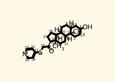 C[C@]12CCC(O)C[C@@H]1CC[C@@H]1[C@@H]2CC[C@]2(C)[C@@H](C(=O)CSc3ccncc3)CC[C@@H]12